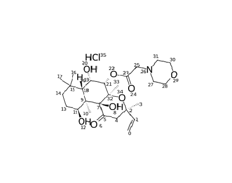 C=C[C@@]1(C)CC(=O)[C@]2(O)[C@@]3(C)[C@@H](O)CCC(C)(C)[C@@H]3[C@H](O)[C@H](OC(=O)CN3CCOCC3)[C@@]2(C)O1.Cl